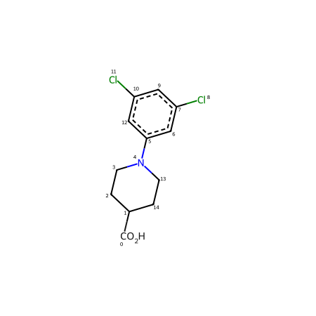 O=C(O)C1CCN(c2cc(Cl)cc(Cl)c2)CC1